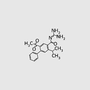 CC(C)c1cc(-c2ccccc2)c(S(C)(=O)=O)cc1C(=O)N=C(N)N